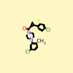 Cc1ccc(Cl)cc1N1CCN(C(=O)C2CC2c2ccc(Cl)cc2F)CC1